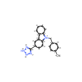 N#Cc1ccc(Cn2c3ccccc3c3cc(-c4nn[nH]n4)ccc32)cc1